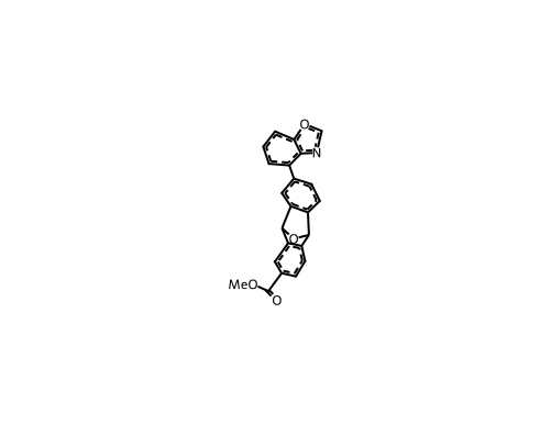 COC(=O)c1ccc2c(c1)C1OC2c2ccc(-c3cccc4ocnc34)cc21